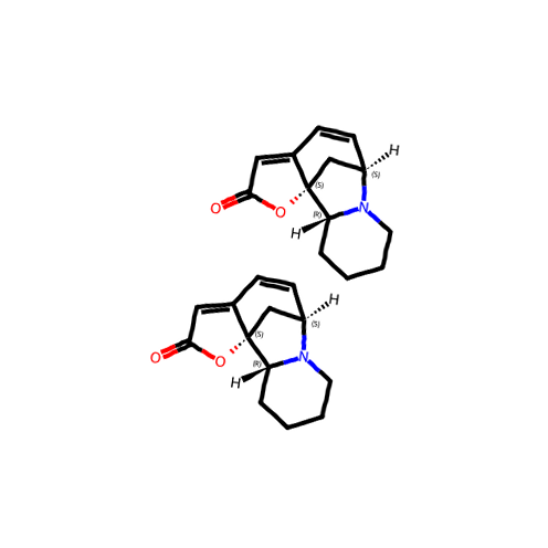 O=C1C=C2C=C[C@@H]3C[C@@]2(O1)[C@H]1CCCCN31.O=C1C=C2C=C[C@@H]3C[C@@]2(O1)[C@H]1CCCCN31